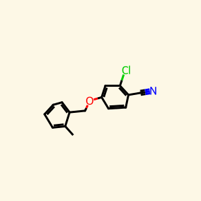 Cc1ccccc1COc1ccc(C#N)c(Cl)c1